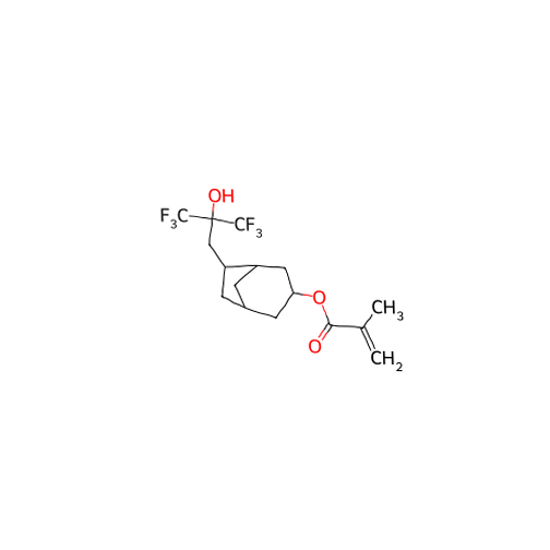 C=C(C)C(=O)OC1CC2CC(C1)C(CC(O)(C(F)(F)F)C(F)(F)F)C2